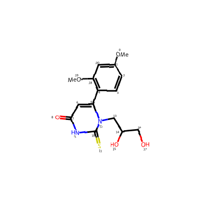 COc1ccc(-c2cc(=O)[nH]c(=S)n2CC(O)CO)c(OC)c1